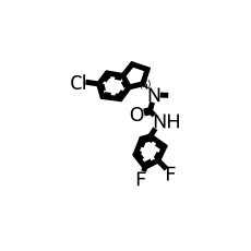 CN(C(=O)Nc1ccc(F)c(F)c1)[C@H]1CCc2cc(Cl)ccc21